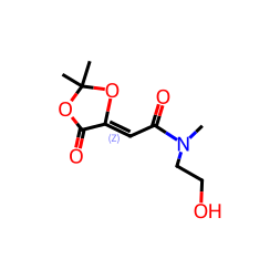 CN(CCO)C(=O)/C=C1\OC(C)(C)OC1=O